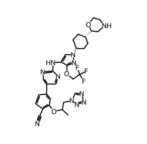 CC(Cn1cnnn1)Oc1cc(-c2cnc(Nc3cn([C@H]4CC[C@@H](C5CNCCO5)CC4)nc3OCC(F)(F)F)nc2)ccc1C#N